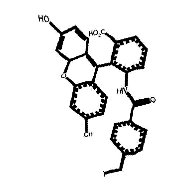 O=C(Nc1cccc(C(=O)O)c1C1=C2C=CC(O)=CC2Oc2cc(O)ccc21)c1ccc(CI)cc1